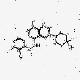 Cc1nnc(N[C@H](C)c2cccc(F)c2Cl)c2cc(N3CCC(C)(O)CC3)cnc12